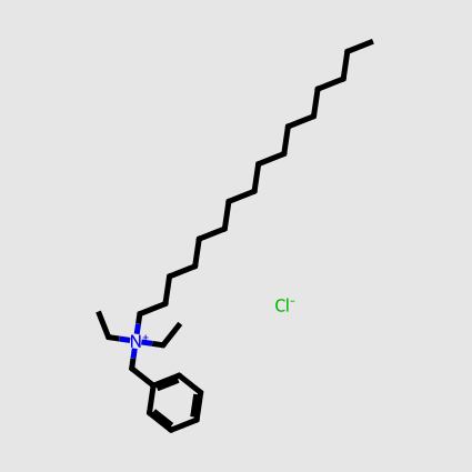 CCCCCCCCCCCCCCCC[N+](CC)(CC)Cc1ccccc1.[Cl-]